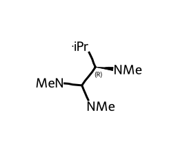 CNC(NC)[C@H](NC)[C](C)C